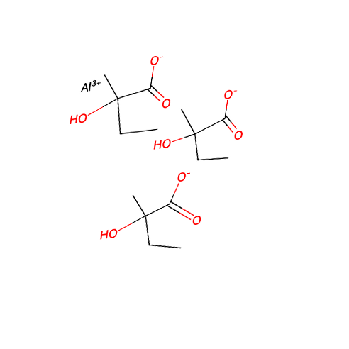 CCC(C)(O)C(=O)[O-].CCC(C)(O)C(=O)[O-].CCC(C)(O)C(=O)[O-].[Al+3]